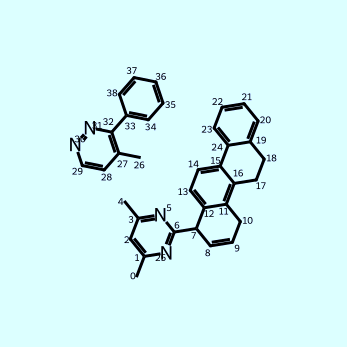 Cc1cc(C)nc(C2C=CCc3c2ccc2c3CCc3ccccc3-2)n1.Cc1ccnnc1-c1ccccc1